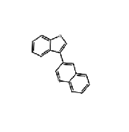 c1ccc2ncc(-c3csc4ccccc34)cc2c1